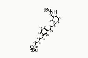 CC(C)(C)NCC1CCCN(CCCc2cccc(CCCCCOC(C)(C)C)c2)C1